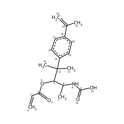 C=CC(=O)OC(C(C)NC(=O)O)C(C)(C)c1ccc(C(=C)C)cc1